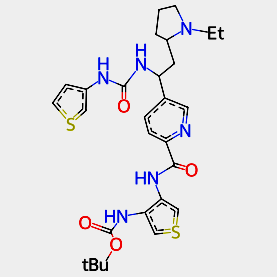 CCN1CCCC1CC(NC(=O)Nc1ccsc1)c1ccc(C(=O)Nc2cscc2NC(=O)OC(C)(C)C)nc1